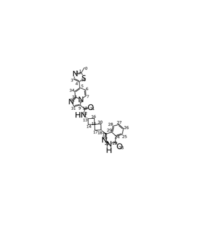 Cc1ncc(-c2ccn3c(C(=O)N[C@H]4CC5(C4)C[C@H](c4n[nH]c(=O)c6ccccc64)C5)cnc3c2)s1